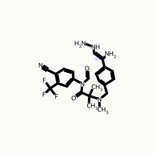 CN(Cc1ccc(/C(N)=C/NN)cc1)C(C)(C)C(=O)N(C=O)c1ccc(C#N)c(C(F)(F)F)c1